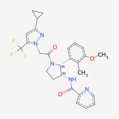 COc1cccc([C@@H]2[C@H](NC(=O)c3ccccn3)CCN2C(=O)Cn2nc(C3CC3)cc2C(F)(F)F)c1C